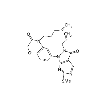 C=CCCCN1C(=O)COc2ccc(-n3c4nc(SC)ncc4c(=O)n3CC=C)cc21